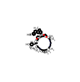 CC1Cc2cccc3cc4c(ccc5ccccc54)c1c23.CO[C@H]1C[C@@H]2CC[C@@H](C)[C@@](O)(O2)C(=O)C(=O)N2CCCC[C@H]2C(=O)O[C@H]([C@H](C)C[C@@H]2CC[C@@H](O)[C@H](OC)C2)CC(=O)[C@H](C)/C=C(\C)[C@@H](O)[C@@H](OC)C(=O)[C@H](C)C[C@H](C)/C=C/C=C/C=C/1C.OO